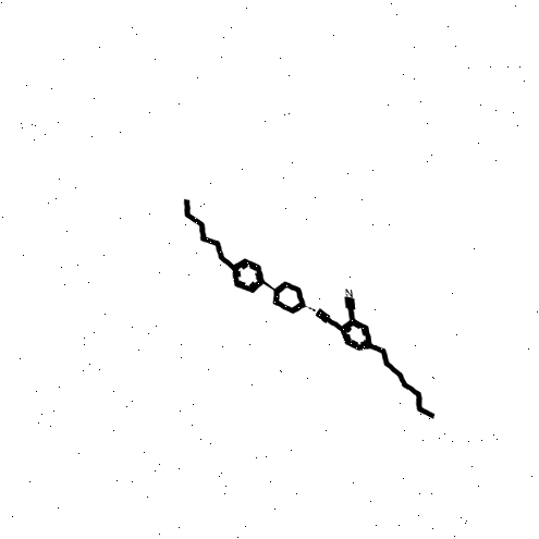 CCCCCCCc1ccc(C#C[C@H]2CC[C@H](c3ccc(CCCCCC)cc3)CC2)c(C#N)c1